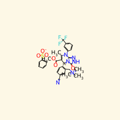 COC(=O)C1=C(C)N(c2cccc(C(F)(F)F)c2)c2n[nH]c(=O)n2[C@@H]1c1ccc(C#N)cc1C[N+](C)(C)C.O=S(=O)([O-])c1ccccc1